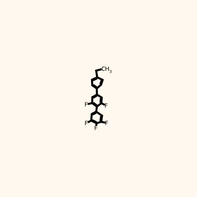 CCc1ccc(-c2cc(F)c(-c3cc(F)c(F)c(F)c3)c(F)c2)cc1